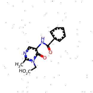 Cc1ncc(NC(=O)c2ccccc2)c(=O)n1CC(=O)O